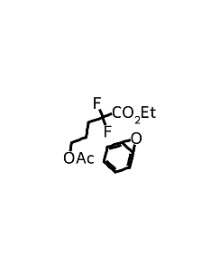 CCOC(=O)C(F)(F)CCCOC(C)=O.c1ccc2c(c1)O2